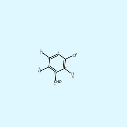 O=[C]c1c(Cl)c(Cl)cc(Cl)c1Cl